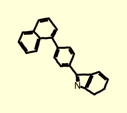 C1=CC2=C(CC1)N=C2c1ccc(-c2cccc3ccccc23)cc1